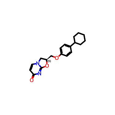 O=c1ccn2c(n1)O[C@H](COc1ccc(C3CCCCC3)cc1)C2